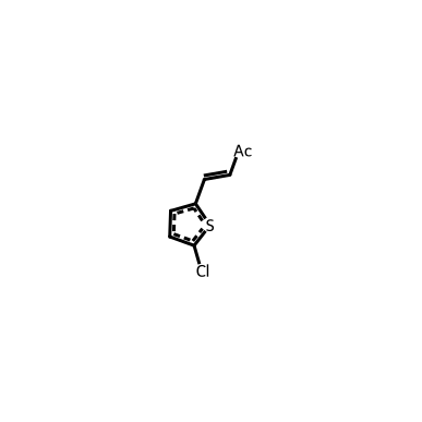 CC(=O)C=Cc1ccc(Cl)s1